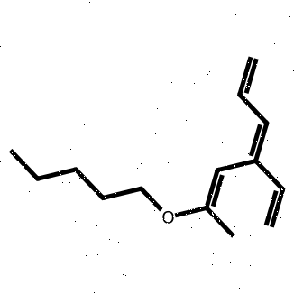 C=C/C=C(C=C)\C=C(/C)OCCCCC